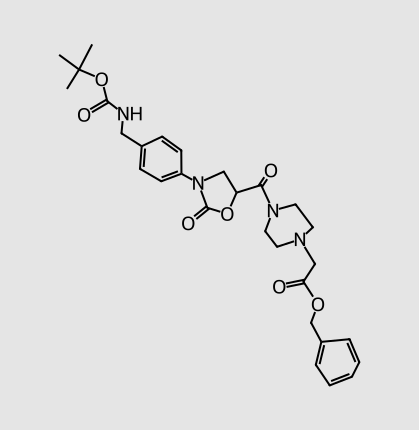 CC(C)(C)OC(=O)NCc1ccc(N2CC(C(=O)N3CCN(CC(=O)OCc4ccccc4)CC3)OC2=O)cc1